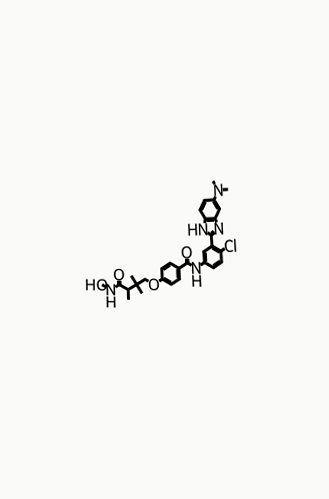 CC(C(=O)NO)C(C)(C)COc1ccc(C(=O)Nc2ccc(Cl)c(-c3nc4cc(N(C)C)ccc4[nH]3)c2)cc1